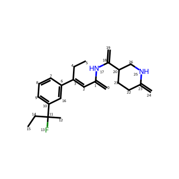 C=C(/C=C(\CC)c1cccc(C(C)(F)CC)c1)NC(=C)C1CCC(=C)NC1